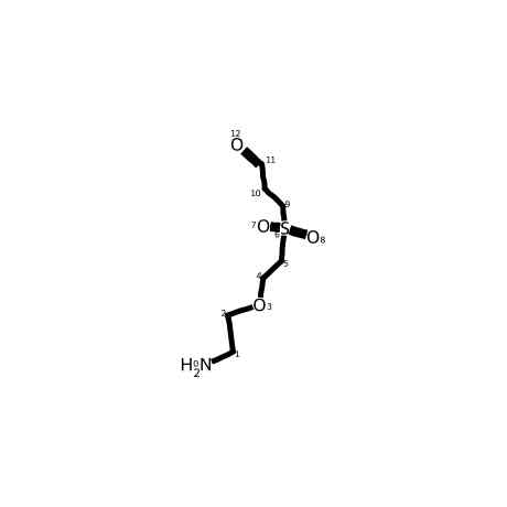 NCCOCCS(=O)(=O)CCC=O